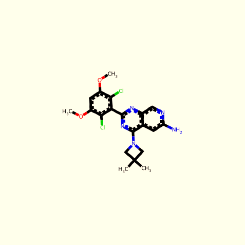 COc1cc(OC)c(Cl)c(-c2nc(N3CC(C)(C)C3)c3cc(N)ncc3n2)c1Cl